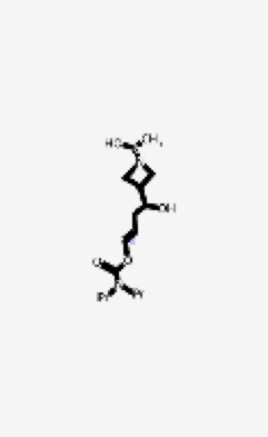 CB(O)N1CC(C(O)C/C=C/OC(=O)N(C(C)C)C(C)C)C1